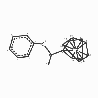 CC(Sc1ccccc1)[C]12[CH]3[CH]4[CH]5[CH]1[Fe]45321678[CH]2[CH]1[CH]6[CH]7[CH]28